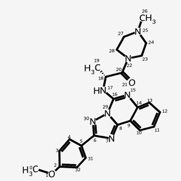 COc1ccc(-c2nc3c4ccccc4nc(N[C@H](C)C(=O)N4CCN(C)CC4)n3n2)cc1